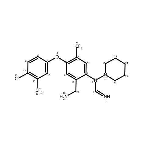 N=CN(c1cc(C(F)(F)F)c(Oc2ccc(Cl)c(C(F)(F)F)c2)cc1CN)N1CCCCC1